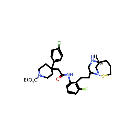 CCOC(=O)N1CCC(CC(=O)Nc2cccc(F)c2CCC2CN[C@@H]3CCCSN2C3)(c2ccc(Cl)cc2)CC1